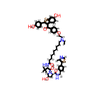 CCN(CCCCCCCCCC(=O)N[C@H](C(=O)N1C[C@@H](O)C[C@H]1C(=O)N[C@@H](C)c1ccc(-c2scnc2C)cc1)C(C)(C)C)CCOc1ccc(C(=O)c2c(-c3ccc(O)cc3)sc3cc(O)ccc23)cc1